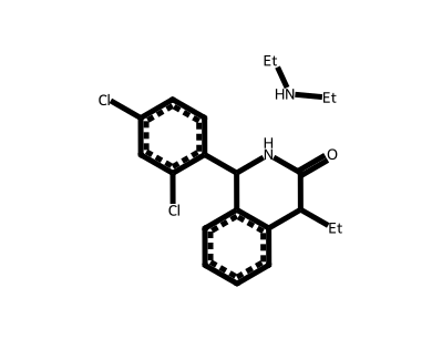 CCC1C(=O)NC(c2ccc(Cl)cc2Cl)c2ccccc21.CCNCC